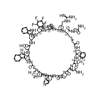 CCCC[C@H]1C(=O)N[C@@H](CCCNC(=N)N)C(=O)N[C@H](C(=O)NCC(N)=O)CSCC(=O)N[C@@H](Cc2ccccc2)C(=O)N(C)[C@@H](C)C(=O)N[C@@H](CC(N)=O)C(=O)N2CCC[C@H]2C(=O)N[C@@H](Cc2cnc[nH]2)C(=O)N[C@@H](CC(C)C)C(=O)N(C)CC(=O)N[C@@H](Cc2c[nH]c3ccccc23)C(=O)N[C@@H](CO)C(=O)N[C@@H](Cc2c[nH]c3ccccc23)C(=O)N[C@@H](Cc2c(F)c(F)c(F)c(F)c2F)C(=O)N1C